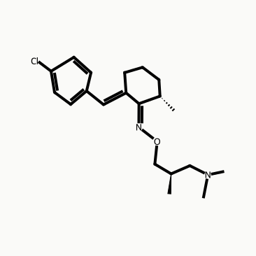 C[C@@H](CO/N=C1/C(=C/c2ccc(Cl)cc2)CCC[C@@H]1C)CN(C)C